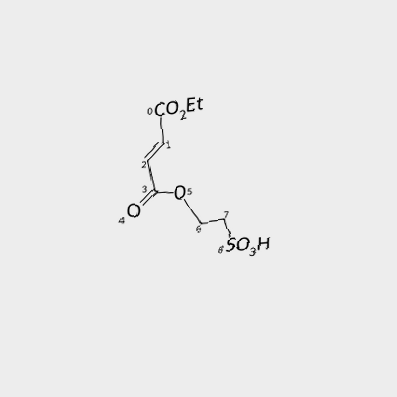 CCOC(=O)C=CC(=O)OCCS(=O)(=O)O